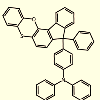 c1ccc(N(c2ccccc2)c2ccc(C3(c4ccccc4)c4ccccc4-c4c3ccc3c4Oc4ccccc4S3)cc2)cc1